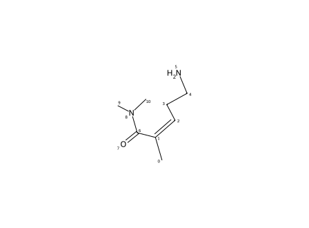 CC(=CCCN)C(=O)N(C)C